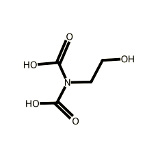 O=C(O)N(CCO)C(=O)O